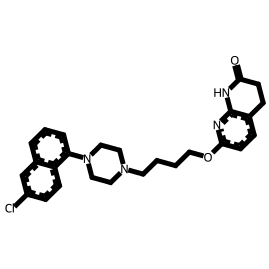 O=C1CCc2ccc(OCCCCN3CCN(c4cccc5cc(Cl)ccc45)CC3)nc2N1